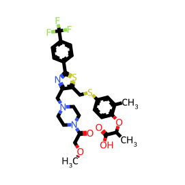 COCC(=O)N1CCN(Cc2nc(-c3ccc(C(F)(F)F)cc3)sc2CSc2ccc(OC(C)C(=O)O)c(C)c2)CC1